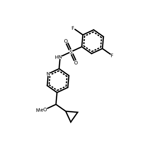 COC(c1ccc(NS(=O)(=O)c2cc(F)ccc2F)nc1)C1CC1